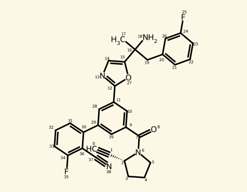 C#C[C@H]1CCCN1C(=O)c1cc(-c2ncc(C(C)(N)Cc3cccc(F)c3)o2)cc(-c2cccc(F)c2C#N)c1